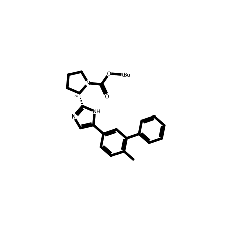 Cc1ccc(-c2cnc([C@@H]3CCCN3C(=O)OC(C)(C)C)[nH]2)cc1-c1ccccc1